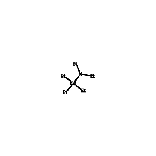 CC[N](CC)[Ge]([CH2]C)([CH2]C)[CH2]C